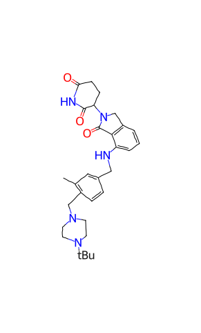 Cc1cc(CNc2cccc3c2C(=O)N(C2CCC(=O)NC2=O)C3)ccc1CN1CCN(C(C)(C)C)CC1